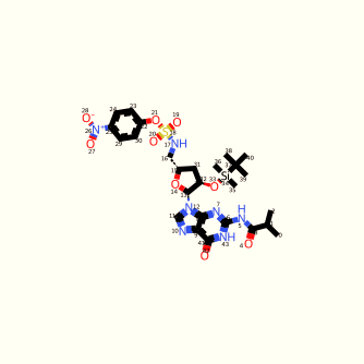 CC(C)C(=O)Nc1nc2c(ncn2[C@@H]2O[C@H](CNS(=O)(=O)Oc3ccc([N+](=O)[O-])cc3)C[C@H]2O[Si](C)(C)C(C)(C)C)c(=O)[nH]1